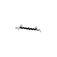 NC(=O)CCCCC[CH]CCCCCC(N)=O